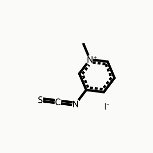 C[n+]1cccc(N=C=S)c1.[I-]